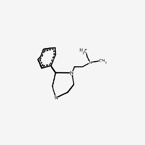 CN(C)CCN1CC[N]CC1c1ccccc1